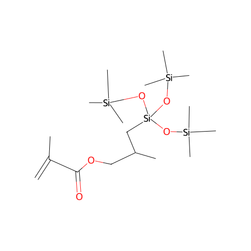 C=C(C)C(=O)OCC(C)C[Si](O[Si](C)(C)C)(O[Si](C)(C)C)O[Si](C)(C)C